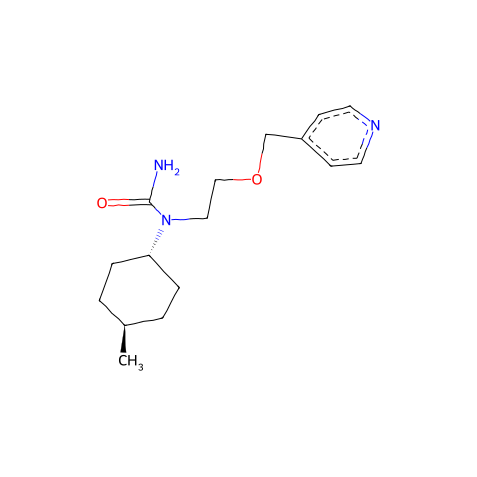 C[C@H]1CC[C@H](N(CCOCc2ccncc2)C(N)=O)CC1